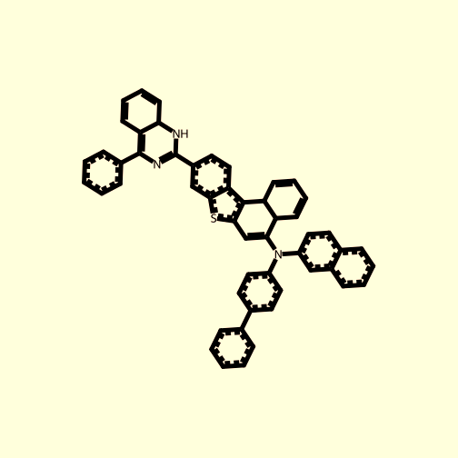 C1=CC2=C(c3ccccc3)N=C(c3ccc4c5c(sc4c3)C=C(N(c3ccc(-c4ccccc4)cc3)c3ccc4ccccc4c3)C3C=CC=CC53)NC2C=C1